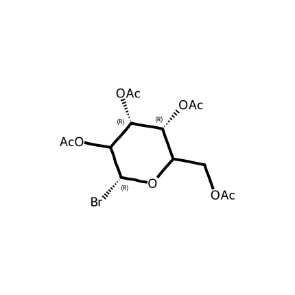 CC(=O)OCC1O[C@H](Br)C(OC(C)=O)[C@H](OC(C)=O)[C@@H]1OC(C)=O